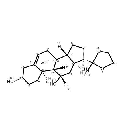 [2H][C@]1(O)C[C@]2(C)[C@@H](C3(C)OCCO3)CC[C@H]2[C@@H]2CC=C3C[C@@H](O)CC[C@]3(C)[C@H]21